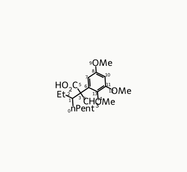 CCCCCC(CC)C(C)(C(=O)O)c1cc(OC)cc(OC)c1OC